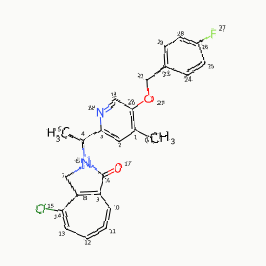 Cc1cc(C(C)N2CC3=C(C=C=CC=C3Cl)C2=O)ncc1OCc1ccc(F)cc1